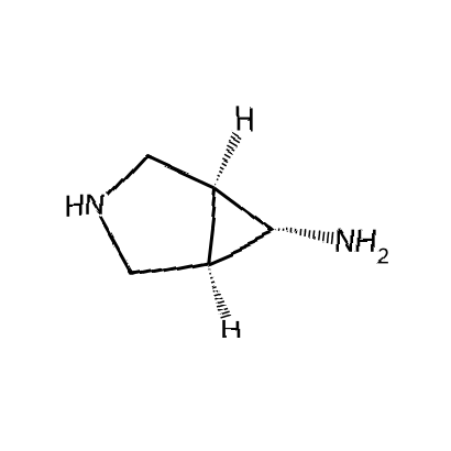 N[C@@H]1[C@H]2CNC[C@@H]12